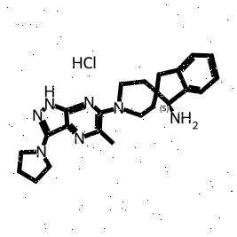 Cc1nc2c(N3CCCC3)n[nH]c2nc1N1CCC2(CC1)Cc1ccccc1[C@H]2N.Cl